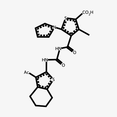 CC(=O)c1c(NC(=O)NC(=O)c2c(-n3cccc3)sc(C(=O)O)c2C)sc2c1CCCC2